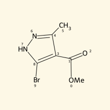 COC(=O)c1c(C)n[nH]c1Br